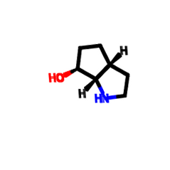 O[C@H]1CC[C@@H]2CCN[C@@H]21